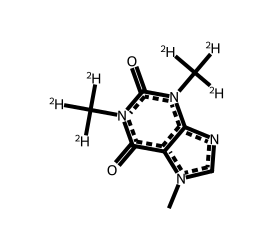 [2H]C([2H])([2H])n1c(=O)c2c(ncn2C)n(C([2H])([2H])[2H])c1=O